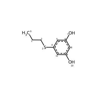 CCCSc1cc(O)cc(O)c1